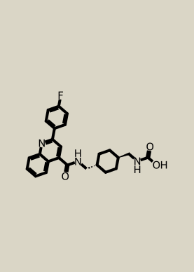 O=C(O)NC[C@H]1CC[C@H](CNC(=O)c2cc(-c3ccc(F)cc3)nc3ccccc23)CC1